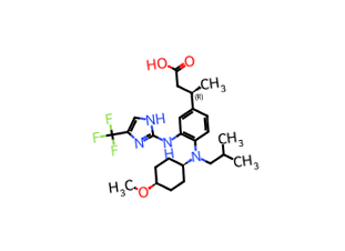 CO[C@H]1CC[C@@H](N(CC(C)C)c2ccc([C@H](C)CC(=O)O)cc2Nc2nc(C(F)(F)F)c[nH]2)CC1